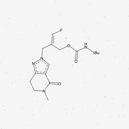 CN1CCc2nn(CC(=CF)COC(=O)NC(C)(C)C)cc2C1=O